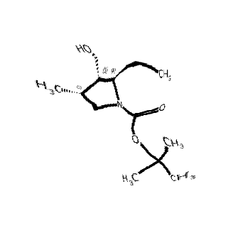 CC[C@@H]1[C@@H](O)[C@@H](C)CN1C(=O)OC(C)(C)C